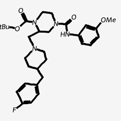 COc1cccc(NC(=O)N2CCN(C(=O)OC(C)(C)C)C(CN3CCC(Cc4ccc(F)cc4)CC3)C2)c1